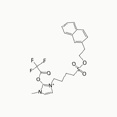 Cn1cc[n+](CCCCS(=O)(=O)OCCc2ccc3ccccc3c2)c1OC(=O)C(F)(F)F